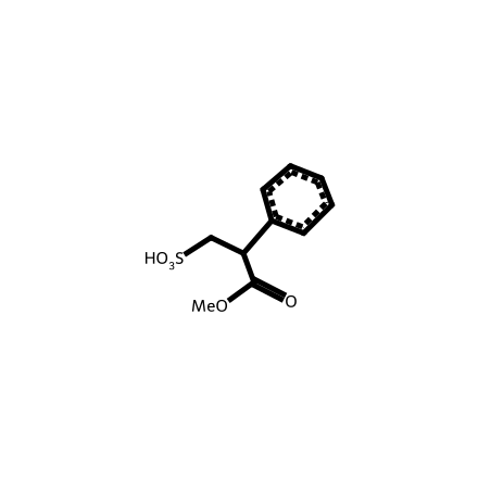 COC(=O)C(CS(=O)(=O)O)c1ccccc1